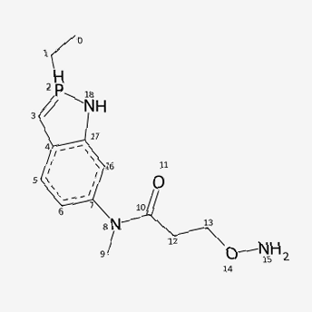 CC[PH]1=Cc2ccc(N(C)C(=O)CCON)cc2N1